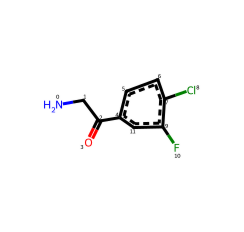 NCC(=O)c1ccc(Cl)c(F)c1